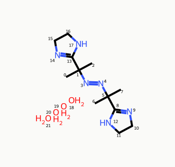 CC(C)(N=NC(C)(C)C1=NCCN1)C1=NCCN1.O.O.O.O